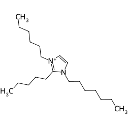 CCCCCCCn1cc[n+](CCCCCC)c1CCCCC